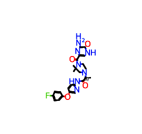 C[C@@H](C(=O)Nc1ccc(Oc2ccc(F)cc2)cn1)N1CCN(C(=O)c2c[nH]c(=O)c(N)n2)C(C)(C)C1